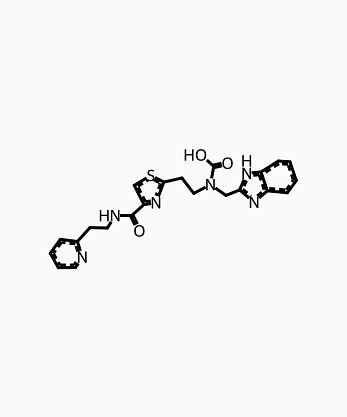 O=C(NCCc1ccccn1)c1csc(CCN(Cc2nc3ccccc3[nH]2)C(=O)O)n1